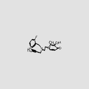 C#CCN(CCn1ccc(=O)c(O)c1C)Cc1ccccc1F